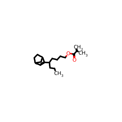 C=C(C)C(=O)OCCCCC(CCC)C1=CC2CCC1C2